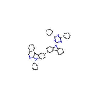 c1ccc(-c2nc(-c3ccccc3)nc(-n3c4ccccc4c4cc(-c5ccc6c(c5)c5c7ccccc7cnc5n6-c5ccccc5)ccc43)n2)cc1